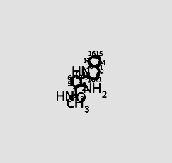 CNC(=O)c1cccc(C2=CC=Cc3ccccc3N2)c1N